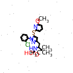 COc1cccc(Sc2cc(CC(NC(=O)O)C(C)(C)C)nn2-c2ccccc2Cl)n1